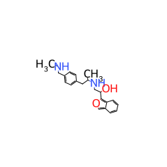 CNCc1ccc(CC(C)NCC(O)c2occ3ccccc23)cc1